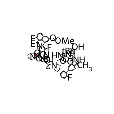 CCc1c(F)ccc2cc(OCOC)cc(-c3ncc4c(N5CC6CCC(C5)N6C(=O)OC(C)(C)C)nc(OCC5(CN6CCCCC6CC(=O)N[C@H](C(=O)N6C[C@H](O)C[C@H]6C(=O)N[C@@H](C)c6ccc(-c7ccccc7F)cc6)C(C)(C)C)CC5)nc4c3F)c12